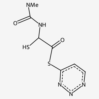 CNC(=O)NC(S)C(=O)Sc1ccnnn1